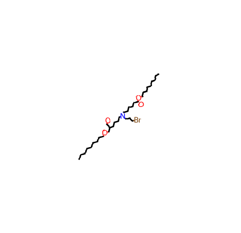 CCCCCCCCCOCC(C=O)CCCCN(CCCBr)CCCCCC(=O)OCCCCCCCCC